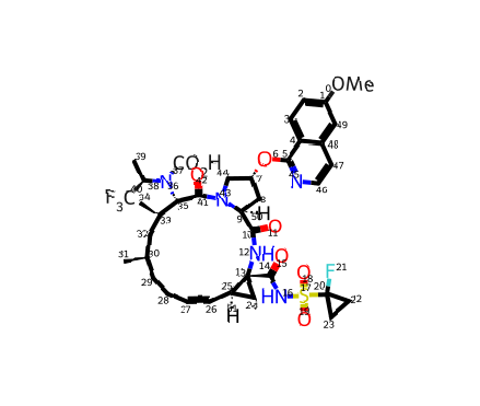 COc1ccc2c(O[C@@H]3C[C@H]4C(=O)N[C@]5(C(=O)NS(=O)(=O)C6(F)CC6)C[C@H]5C=CCC[C@@H](C)C[C@@H](C)[C@H](N(C(=O)O)[C@H](C)C(F)(F)F)C(=O)N4C3)nccc2c1